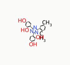 Cc1ccc(C)c(-c2nc(-c3ccc(O)cc3O)nc(-c3ccc(O)cc3O)n2)c1